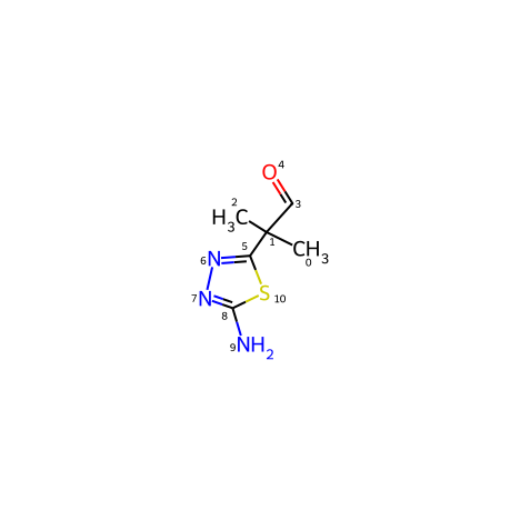 CC(C)(C=O)c1nnc(N)s1